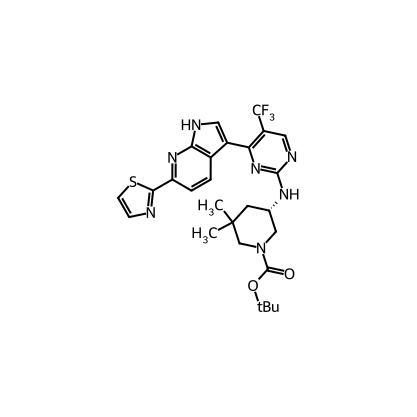 CC1(C)C[C@H](Nc2ncc(C(F)(F)F)c(-c3c[nH]c4nc(-c5nccs5)ccc34)n2)CN(C(=O)OC(C)(C)C)C1